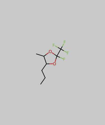 CCCC1OC(F)(C(F)(F)F)OC1C